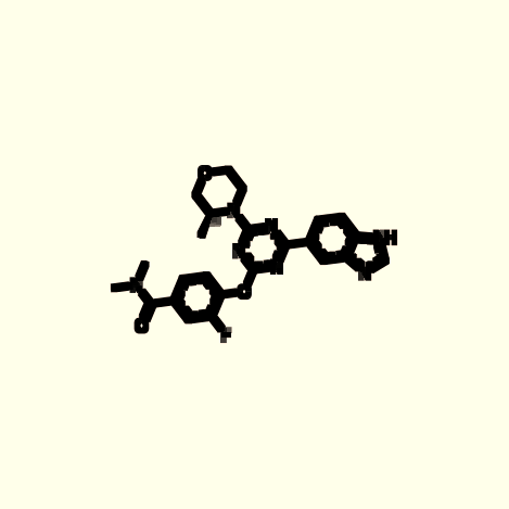 C[C@H]1COCCN1c1nc(Oc2ccc(C(=O)N(C)C)cc2F)nc(-c2ccc3[nH]cnc3c2)n1